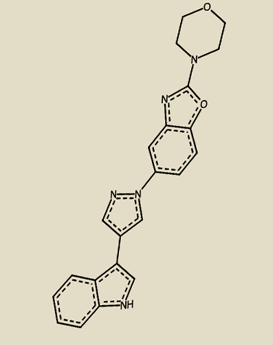 c1ccc2c(-c3cnn(-c4ccc5oc(N6CCOCC6)nc5c4)c3)c[nH]c2c1